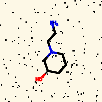 NCCN1CCC[C@H](O)C1